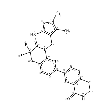 Cc1nn(C)c(C)c1CN1C(=O)C(F)(F)Oc2ccc(-c3ccc4c(c3)C(=O)NCC4)nc21